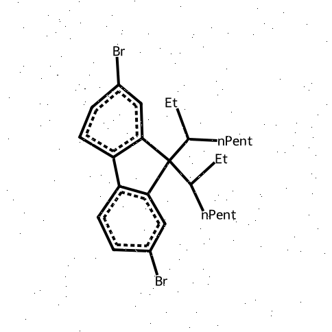 CCCCCC(CC)C1(C(CC)CCCCC)c2cc(Br)ccc2-c2ccc(Br)cc21